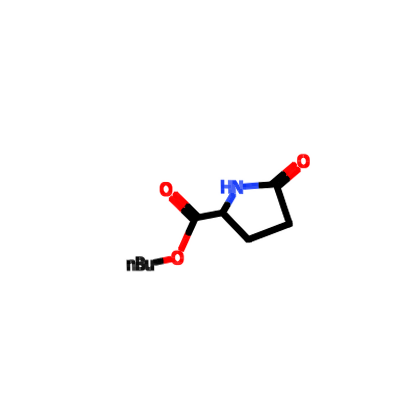 CCCCOC(=O)C1CCC(=O)N1